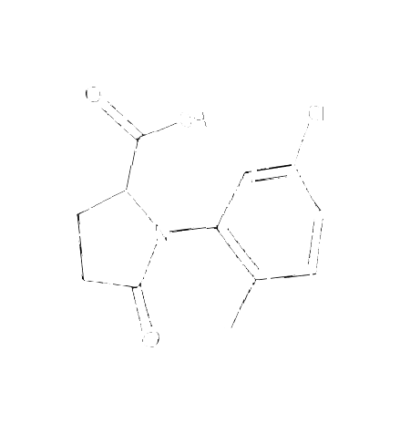 [CH2]c1ccc(Cl)cc1N1C(=O)CCC1C(=O)O